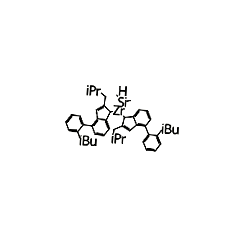 CCC(C)c1ccccc1-c1cccc2c1C=C(CC(C)C)[CH]2[Zr]([CH]1C(CC(C)C)=Cc2c(-c3ccccc3C(C)CC)cccc21)[SiH](C)C